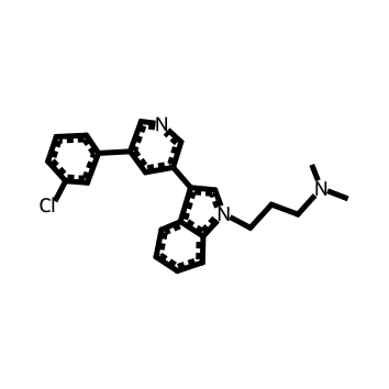 CN(C)CCCn1cc(-c2cncc(-c3cccc(Cl)c3)c2)c2ccccc21